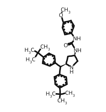 COc1ccc(NC(=O)N[C@H]2CN[C@@H](C(c3ccc(C(C)(C)C)cc3)c3ccc(C(C)(C)C)cc3)C2)cc1